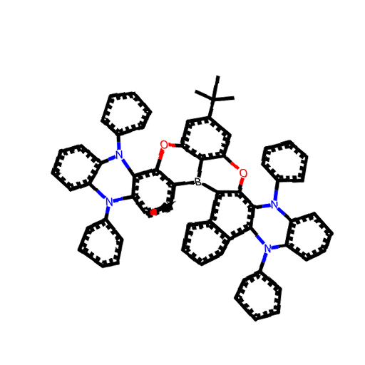 CC(C)(C)c1cc2c3c(c1)Oc1c4c(c5ccccc5c1B3c1c(c3c(c5ccccc15)N(c1ccccc1)c1ccccc1N3c1ccccc1)O2)N(c1ccccc1)c1ccccc1N4c1ccccc1